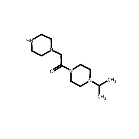 CC(C)N1CCN(C(=O)CN2CCNCC2)CC1